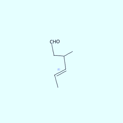 C/C=C/C(C)CC=O